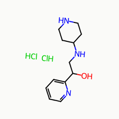 Cl.Cl.OC(CNC1CCNCC1)c1ccccn1